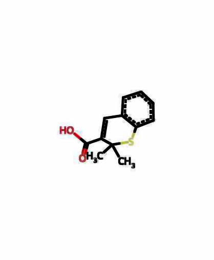 CC1(C)Sc2ccccc2C=C1C(=O)O